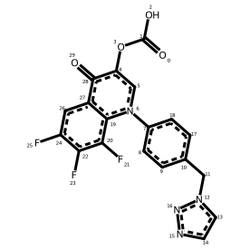 O=C(O)Oc1cn(-c2ccc(Cn3ccnn3)cc2)c2c(F)c(F)c(F)cc2c1=O